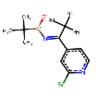 [2H]C([2H])([2H])C(=N[S@+]([O-])C(C)(C)C)c1ccnc(Br)c1